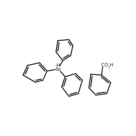 O=C(O)c1ccccc1.c1cc[c]([SnH]([c]2ccccc2)[c]2ccccc2)cc1